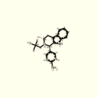 C[C@@H]1Cc2c([nH]c3ccccc23)[C@@H](c2cnc(N)nc2)N1CC(C)(C)F